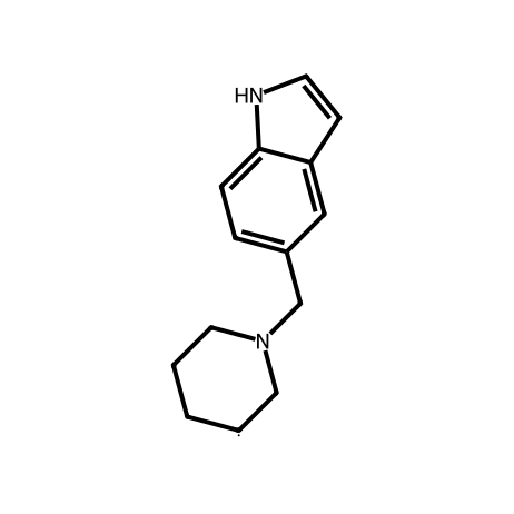 [CH]1CCCN(Cc2ccc3[nH]ccc3c2)C1